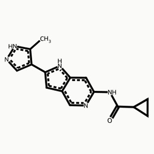 Cc1[nH]ncc1-c1cc2cnc(NC(=O)C3CC3)cc2[nH]1